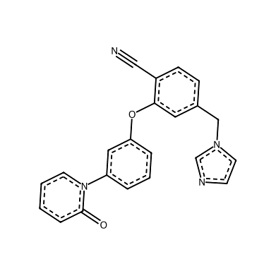 N#Cc1ccc(Cn2ccnc2)cc1Oc1cccc(-n2ccccc2=O)c1